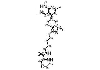 CNc1nc(C)cc(N2CCc3c(c(C)nn3CCCCCNC(=O)[C@@H]3COCCN3)C2)c1C=N